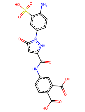 Nc1ccc(-n2[nH]c(C(=O)Nc3ccc(C(=O)O)c(C(=O)O)c3)cc2=O)cc1S(=O)(=O)O